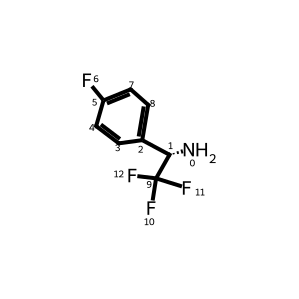 N[C@@H](c1ccc(F)cc1)C(F)(F)F